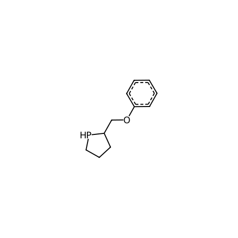 c1ccc(OCC2CCCP2)cc1